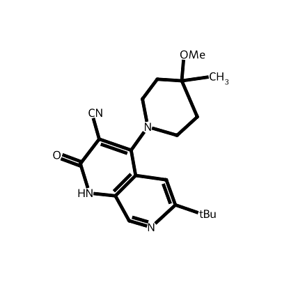 COC1(C)CCN(c2c(C#N)c(=O)[nH]c3cnc(C(C)(C)C)cc23)CC1